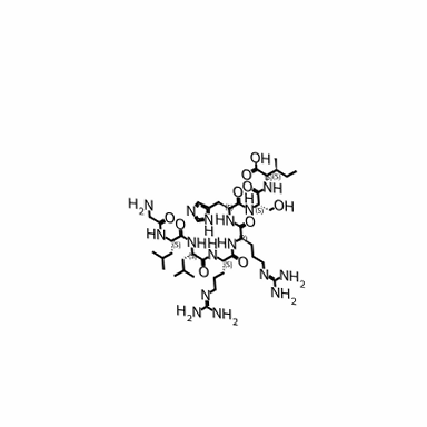 CC[C@H](C)[C@H](NC(=O)[C@H](CO)NC(=O)[C@H](Cc1cnc[nH]1)NC(=O)[C@@H](CCCN=C(N)N)NC(=O)[C@H](CCCN=C(N)N)NC(=O)[C@H](CC(C)C)NC(=O)[C@H](CC(C)C)NC(=O)CN)C(=O)O